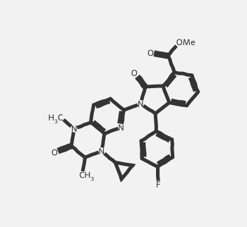 COC(=O)c1cccc2c1C(=O)N(c1ccc3c(n1)N(C1CC1)C(C)C(=O)N3C)C2c1ccc(F)cc1